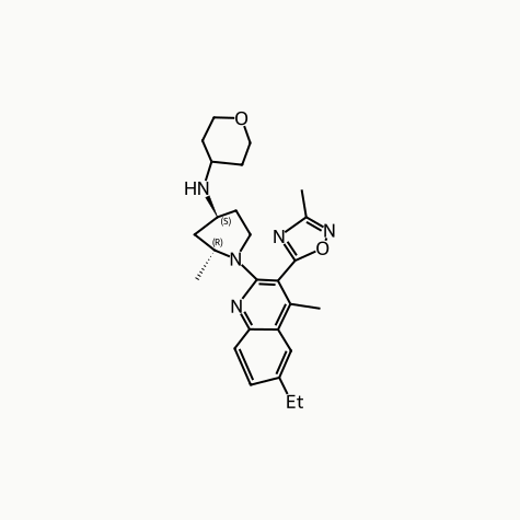 CCc1ccc2nc(N3CC[C@H](NC4CCOCC4)C[C@H]3C)c(-c3nc(C)no3)c(C)c2c1